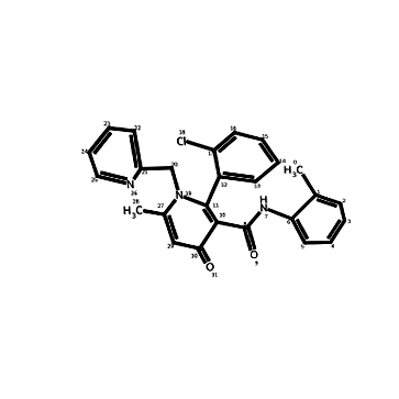 Cc1ccccc1NC(=O)c1c(-c2ccccc2Cl)n(Cc2ccccn2)c(C)cc1=O